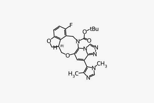 Cc1ncn(C)c1-c1cc2c(n3cnnc13)N(C(=O)OC(C)(C)C)Cc1c(F)ccc3c1[C@H](CO3)CO2